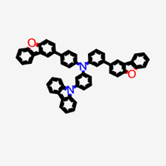 c1cc(-c2ccc3oc4ccccc4c3c2)cc(N(c2ccc(-c3ccc4oc5ccccc5c4c3)cc2)c2cccc(-n3c4ccccc4c4ccccc43)c2)c1